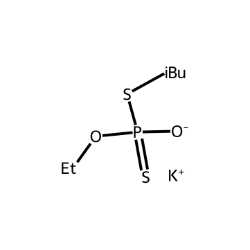 CCOP([O-])(=S)SC(C)CC.[K+]